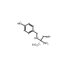 CCCCc1ccc(CN[C@](N)(CC(C)C)C(=O)OCC)cc1